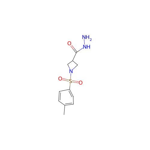 Cc1ccc(S(=O)(=O)N2CC(C(=O)NN)C2)cc1